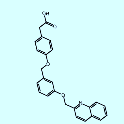 O=C(O)Cc1ccc(OCc2cccc(OCc3ccc4ccccc4n3)c2)cc1